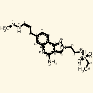 C=NN/C=C\Cc1ccc2c(c1)nc(N)c1cn(CCNS(=O)(=O)CC)nc12